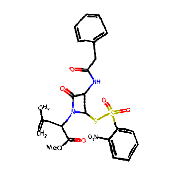 C=C(C)C(C(=O)OC)N1C(=O)C(NC(=O)Cc2ccccc2)C1SS(=O)(=O)c1ccccc1[N+](=O)[O-]